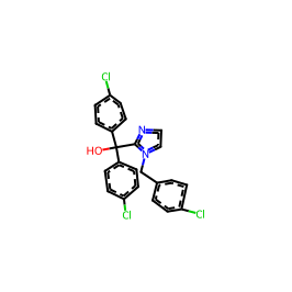 OC(c1ccc(Cl)cc1)(c1ccc(Cl)cc1)c1nccn1Cc1ccc(Cl)cc1